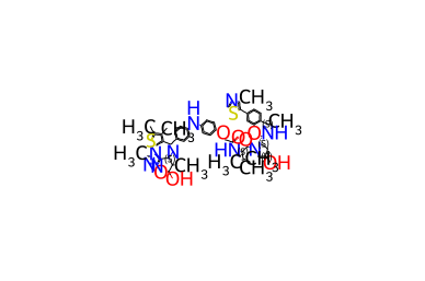 Cc1ncsc1-c1ccc([C@H](C)NC(=O)[C@@H]2C[C@@H](O)CN2C(=O)[C@@H](NC(=O)COc2ccc(Nc3ccc(C4=N[C@@H](C(C)C(=O)O)c5nnc(C)n5-c5sc(C)c(C)c54)cc3)cc2)C(C)(C)C)cc1